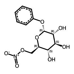 O=[N+]([O-])OC[C@H]1O[C@H](Oc2ccccc2)[C@H](O)[C@@H](O)[C@@H]1O